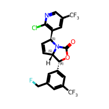 O=C1O[C@H](c2cc(CF)cc(C(F)(F)F)c2)[C@@H]2C=C[C@@H](c3cc(C(F)(F)F)cnc3Cl)N12